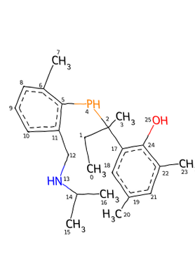 CCC(C)(Pc1c(C)cccc1CNC(C)C)c1cc(C)cc(C)c1O